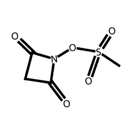 CS(=O)(=O)ON1C(=O)CC1=O